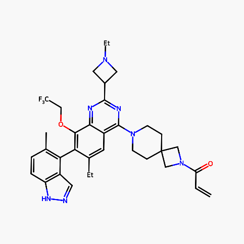 C=CC(=O)N1CC2(CCN(c3nc(C4CN(CC)C4)nc4c(OCC(F)(F)F)c(-c5c(C)ccc6[nH]ncc56)c(CC)cc34)CC2)C1